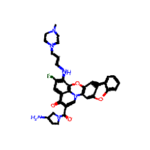 CN1CCN(CCCNc2c(F)cc3c(=O)c(C(=O)N4CCC(N)C4)cn4c3c2Oc2cc3c(cc2-4)oc2ccccc23)CC1